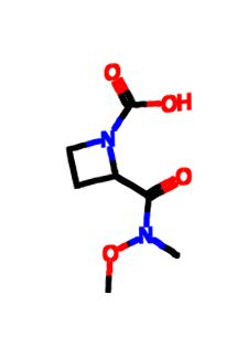 CON(C)C(=O)C1CCN1C(=O)O